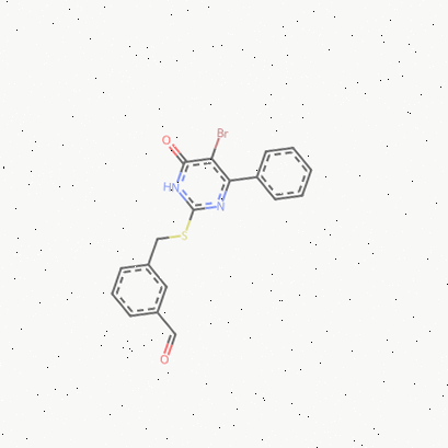 O=Cc1cccc(CSc2nc(-c3ccccc3)c(Br)c(=O)[nH]2)c1